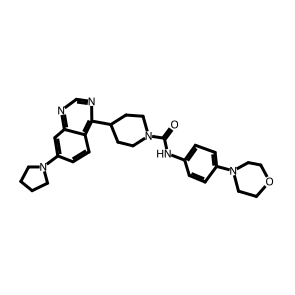 O=C(Nc1ccc(N2CCOCC2)cc1)N1CCC(c2ncnc3cc(N4CCCC4)ccc23)CC1